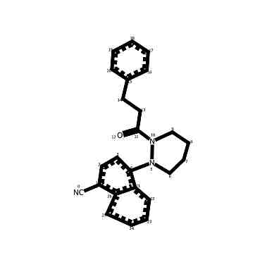 N#Cc1ccc(N2CCCCN2C(=O)CCc2ccccc2)c2ccccc12